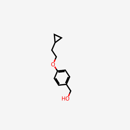 OCc1ccc(OCCC2CC2)cc1